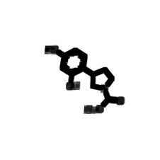 CC(C)COC(=O)N1CCC(c2ccc(O)cc2O)C1